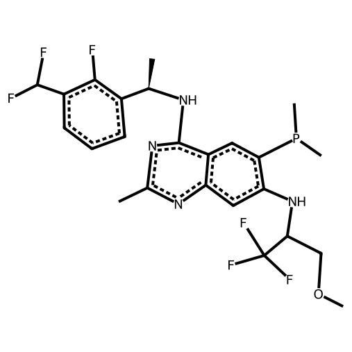 COCC(Nc1cc2nc(C)nc(N[C@H](C)c3cccc(C(F)F)c3F)c2cc1P(C)C)C(F)(F)F